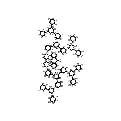 O=C1c2ccccc2C(c2cccc(-c3cccc(-c4nc(-c5cccc(-c6cc(-c7ccccc7)cc(-c7ccccc7)c6)c5)nc(-c5cccc(-c6cc(-c7ccccc7)cc(-c7ccccc7)c6)c5)n4)c3)c2)(c2cccc(-c3cccc(-c4nc(-c5cccc(-c6cc(-c7ccccc7)cc(-c7ccccc7)c6)c5)nc(-c5cccc(-c6cc(-c7ccccc7)cc(-c7ccccc7)c6)c5)n4)c3)c2)c2ccccc21